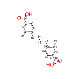 Cc1cc(C(=O)O)ccc1CCCCc1ccc(C(=O)O)cc1C